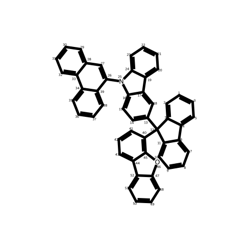 c1ccc2c(c1)-c1ccccc1C2(c1ccc2c(c1)c1ccccc1n2-c1cc2ccccc2c2ccccc12)c1cccc2c1oc1ccccc12